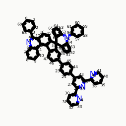 c1ccc(-c2nc3ccccc3c3c4c(ccc23)C2(c3cc(-c5ccc(-c6cc(-c7ccccn7)nc(-c7ccccn7)c6)cc5)ccc3-4)c3ccccc3N(c3ccccc3)c3ccccc32)cc1